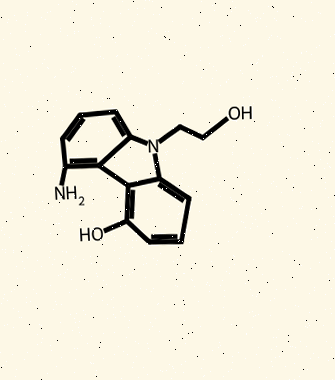 Nc1cccc2c1c1c(O)cccc1n2CCO